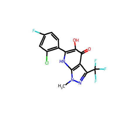 Cn1nc(C(F)(F)F)c2c(=O)c(O)c(-c3ccc(F)cc3Cl)[nH]c21